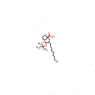 CC(C)(C)OC(=O)C(CCCCCCCCBr)CC1(C(=O)O)CCCC1